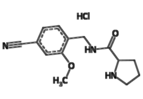 COc1cc(C#N)ccc1CNC(=O)C1CCCN1.Cl